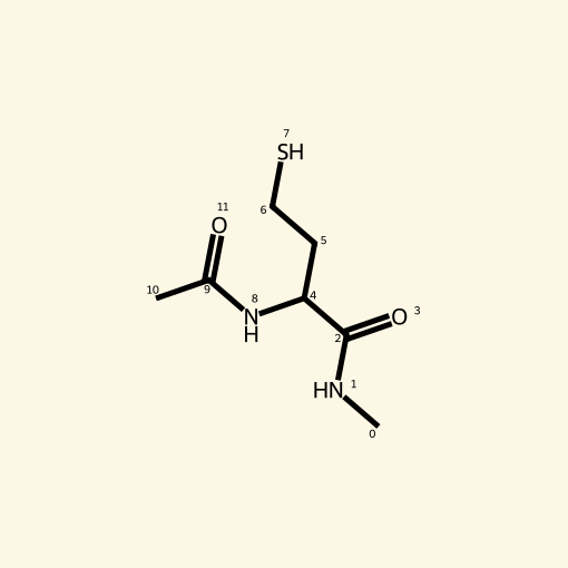 CNC(=O)C(CCS)NC(C)=O